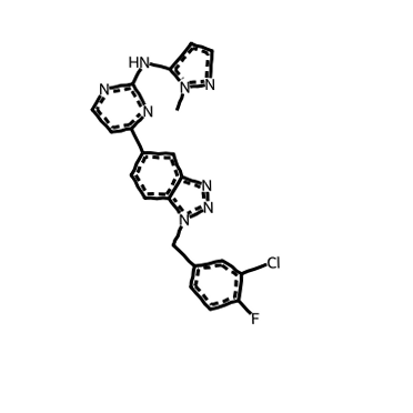 Cn1nccc1Nc1nccc(-c2ccc3c(c2)nnn3Cc2ccc(F)c(Cl)c2)n1